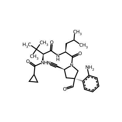 CC(C)C[C@H](NC(=O)[C@@H](NC(=O)C1CC1)C(C)(C)C)C(=O)N1C[C@](C=O)(c2ccccc2N)C[C@H]1C#N